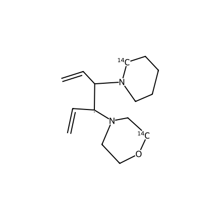 C=C[C](C(C=C)N1CCCC[14CH2]1)N1CCO[14CH2]C1